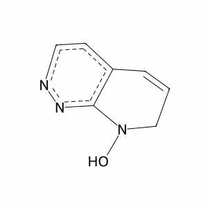 ON1CC=Cc2ccnnc21